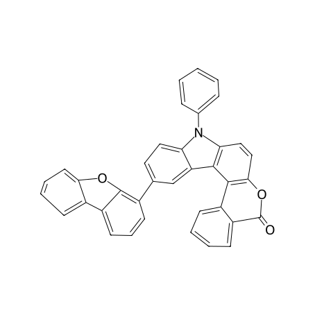 O=c1oc2ccc3c(c4cc(-c5cccc6c5oc5ccccc56)ccc4n3-c3ccccc3)c2c2ccccc12